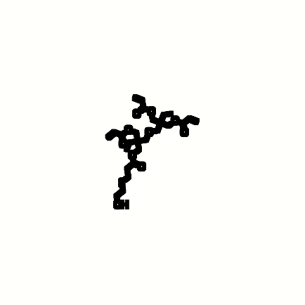 C=CC(=O)OCC(CC)(COCC(CC)(COC(=O)C=C)COC(=O)CCSCCO)COC(=O)C=C